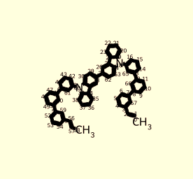 C/C=C/c1cccc(-c2cccc(-c3cccc(-n4c5ccccc5c5cc(-c6ccc7c(c6)c6ccccc6n7-c6cccc(-c7cccc(-c8cccc(/C=C/C)c8)c7)c6)ccc54)c3)c2)c1